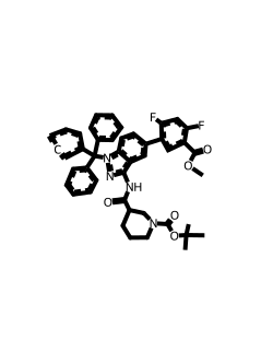 COC(=O)c1cc(-c2ccc3c(c2)c(NC(=O)C2CCCN(C(=O)OC(C)(C)C)C2)nn3C(c2ccccc2)(c2ccccc2)c2ccccc2)c(F)cc1F